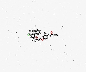 COC(=O)CCc1ccc(OCC[C@H](C)Oc2ccc(Cl)cc2-c2ccccc2OC)cc1C